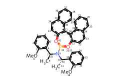 COc1ccccc1[C@H](C)N([C@@H](C)c1ccccc1OC)p1oc2ccc3ccccc3c2c2c(ccc3ccccc32)o1